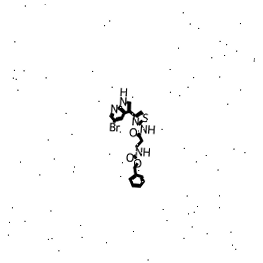 O=C(CCNC(=O)OCc1ccccc1)Nc1nc(-c2c[nH]c3ncc(Br)cc23)cs1